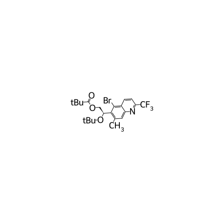 Cc1cc2nc(C(F)(F)F)ccc2c(Br)c1[C@H](COC(=O)C(C)(C)C)OC(C)(C)C